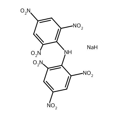 O=[N+]([O-])c1cc([N+](=O)[O-])c(Nc2c([N+](=O)[O-])cc([N+](=O)[O-])cc2[N+](=O)[O-])c([N+](=O)[O-])c1.[NaH]